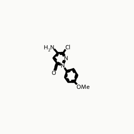 COc1ccc(-n2nc(Cl)c(N)cc2=O)cc1